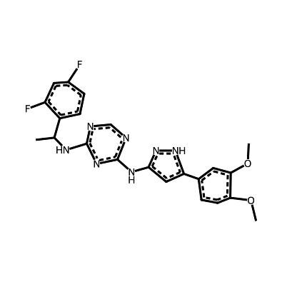 COc1ccc(-c2cc(Nc3ncnc(NC(C)c4ccc(F)cc4F)n3)n[nH]2)cc1OC